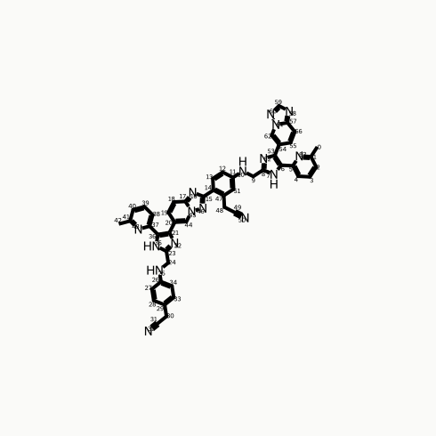 Cc1cccc(-c2[nH]c(CNc3ccc(-c4nc5ccc(-c6nc(CNc7ccc(CC#N)cc7)[nH]c6-c6cccc(C)n6)cn5n4)c(CC#N)c3)nc2-c2ccc3ncnn3c2)n1